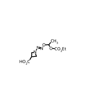 CCOC(=O)OC(C)ON=NN1CC(C(=O)O)C1